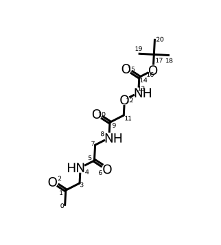 CC(=O)CNC(=O)CNC(=O)CONC(=O)OC(C)(C)C